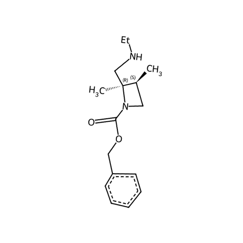 CCNC[C@@]1(C)[C@@H](C)CN1C(=O)OCc1ccccc1